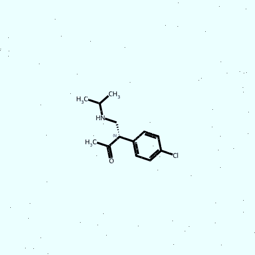 CC(=O)[C@H](CNC(C)C)c1ccc(Cl)cc1